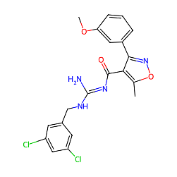 COc1cccc(-c2noc(C)c2C(=O)/N=C(\N)NCc2cc(Cl)cc(Cl)c2)c1